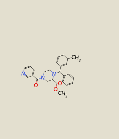 COC(=O)C1CN(C(=O)c2cccnc2)CCN1C(C1=CC(C)CC=C1)c1ccccc1